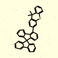 CC1(C)c2ccccc2Oc2cc(-c3cccc4c3-c3ccccc3C43c4ccccc4-c4ccccc43)ccc21